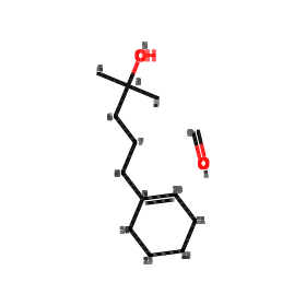 C=O.CC(C)(O)CCCC1=CCCCC1